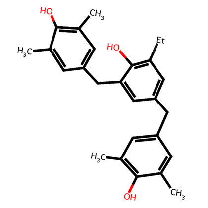 CCc1cc(Cc2cc(C)c(O)c(C)c2)cc(Cc2cc(C)c(O)c(C)c2)c1O